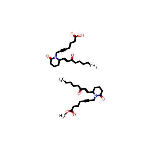 CCCCCC(=O)C=CC1CCCC(=O)N1CC#CCCCC(=O)O.CCCCCC(=O)C=CC1CCCC(=O)N1CC#CCCCC(=O)OC